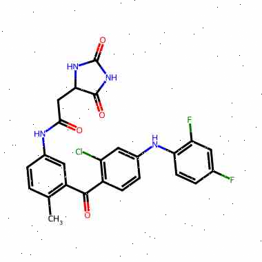 Cc1ccc(NC(=O)CC2NC(=O)NC2=O)cc1C(=O)c1ccc(Nc2ccc(F)cc2F)cc1Cl